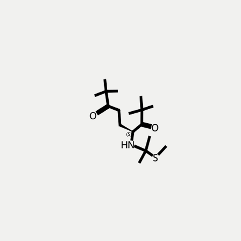 CSC(C)(C)N[C@@H](CCC(=O)C(C)(C)C)C(=O)C(C)(C)C